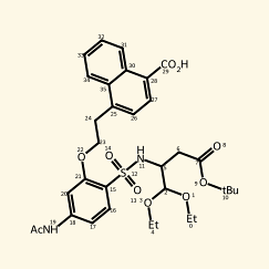 CCOC(OCC)C(CC(=O)OC(C)(C)C)NS(=O)(=O)c1ccc(NC(C)=O)cc1OCCc1ccc(C(=O)O)c2ccccc12